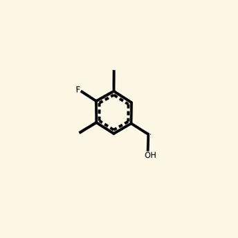 Cc1cc([CH]O)cc(C)c1F